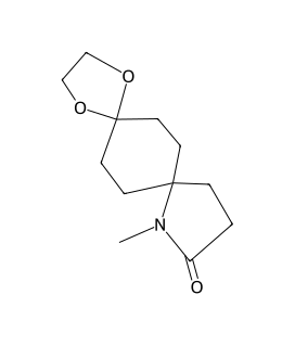 CN1C(=O)CCC12CCC1(CC2)OCCO1